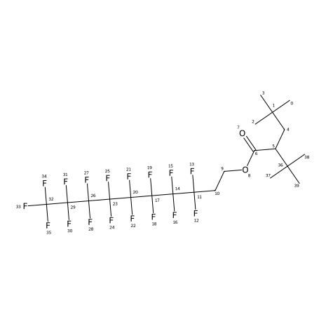 CC(C)(C)CC(C(=O)OCCC(F)(F)C(F)(F)C(F)(F)C(F)(F)C(F)(F)C(F)(F)C(F)(F)C(F)(F)F)C(C)(C)C